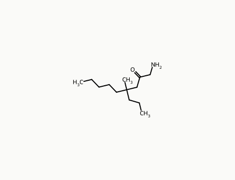 CCCCCC(C)(CCC)CC(=O)CN